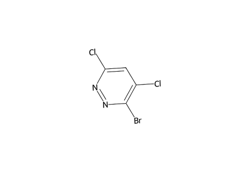 Clc1cc(Cl)c(Br)nn1